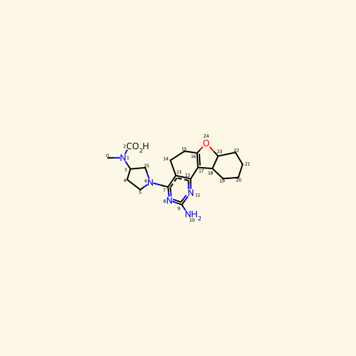 CN(C(=O)O)C1CCN(c2nc(N)nc3c2CCC2=C3C3CCCCC3O2)C1